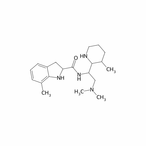 Cc1cccc2c1NC(C(=O)NC(CN(C)C)C1NCCCC1C)C2